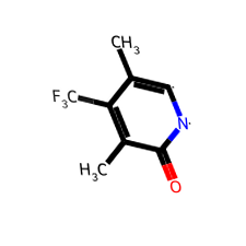 CC1=[C][N]C(=O)C(C)=C1C(F)(F)F